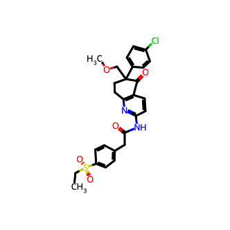 CCS(=O)(=O)c1ccc(CC(=O)Nc2ccc3c(n2)CCC(COC)(c2ccc(Cl)cc2)C3=O)cc1